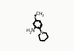 CSc1ccc(N2CCCCC2)c(N)c1